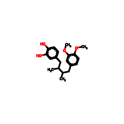 COc1ccc(CC(C)C(C)Cc2ccc(O)c(O)c2)cc1OC